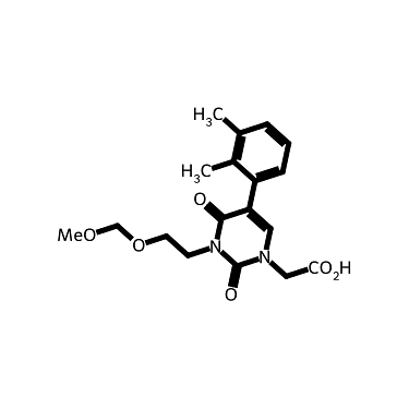 COCOCCn1c(=O)c(-c2cccc(C)c2C)cn(CC(=O)O)c1=O